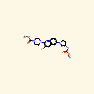 CC(C)(C)OC(=O)N[C@@H]1CCN(c2ccc3nc(N4CCN(C(=O)OC(C)(C)C)CC4)c(Cl)cc3c2)C1